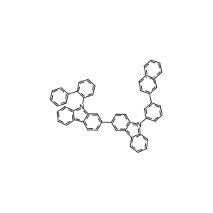 c1ccc(-c2ccccc2-n2c3ccccc3c3ccc(-c4ccc5c(c4)c4ccccc4n5-c4cccc(-c5ccc6ccccc6c5)c4)cc32)cc1